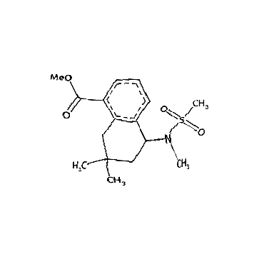 COC(=O)c1cccc2c1CC(C)(C)CC2N(C)S(C)(=O)=O